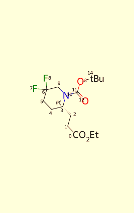 CCOC(=O)CC[C@@H]1CCC(F)(F)CN1C(=O)OC(C)(C)C